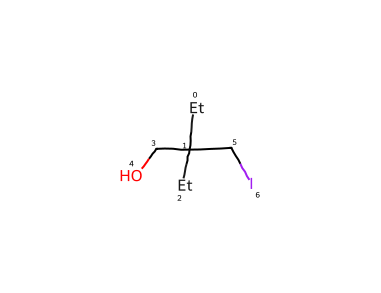 CCC(CC)(CO)CI